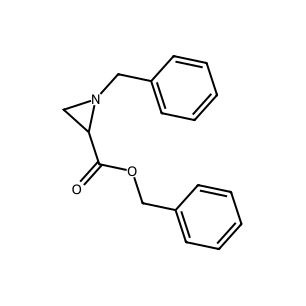 O=C(OCc1ccccc1)C1CN1Cc1ccccc1